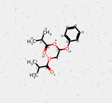 CC(C)C(=O)OCC(OC(=O)C(C)C)Oc1ccccc1